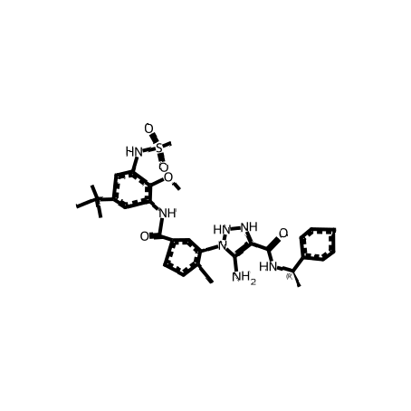 COc1c(NC(=O)c2ccc(C)c(N3NNC(C(=O)N[C@H](C)c4ccccc4)=C3N)c2)cc(C(C)(C)C)cc1NS(C)(=O)=O